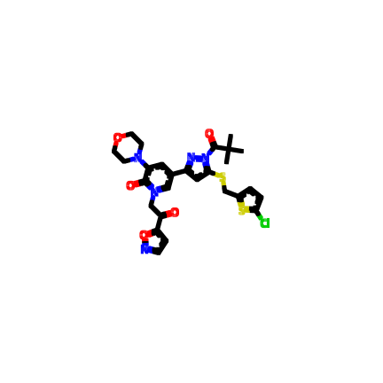 CC(C)(C)C(=O)n1nc(-c2cc(N3CCOCC3)c(=O)n(CC(=O)c3ccno3)c2)cc1SCc1ccc(Cl)s1